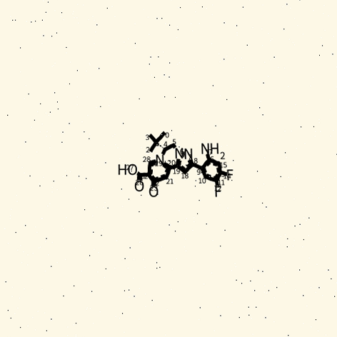 CC(C)(C)[C@@H]1Cn2nc(-c3cc(F)c(F)cc3N)cc2-c2cc(=O)c(C(=O)O)cn21